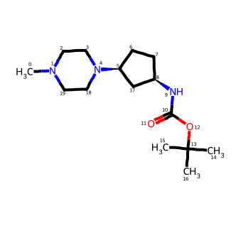 CN1CCN([C@H]2CC[C@@H](NC(=O)OC(C)(C)C)C2)CC1